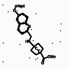 CCCCCCCOc1ccc2nc(CNC34CCC(C(=O)OC)(CC3)CC4)ccc2c1